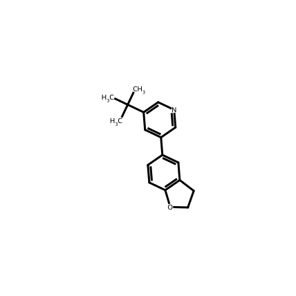 CC(C)(C)c1cncc(-c2ccc3c(c2)CCO3)c1